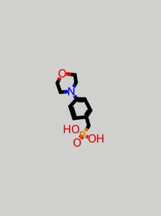 O=P(O)(O)Cc1ccc(N2CCOCC2)cc1